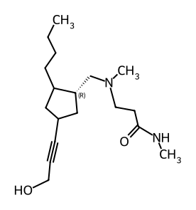 CCCCC1CC(C#CCO)C[C@H]1CN(C)CCC(=O)NC